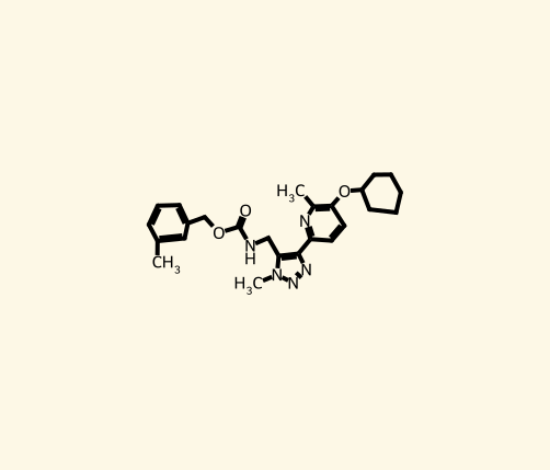 Cc1cccc(COC(=O)NCc2c(-c3ccc(OC4CCCCC4)c(C)n3)nnn2C)c1